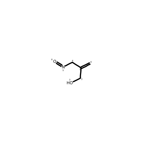 C=C(CO)CN=O